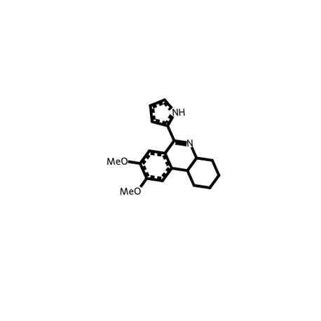 COc1cc2c(cc1OC)C1CCCCC1N=C2c1ccc[nH]1